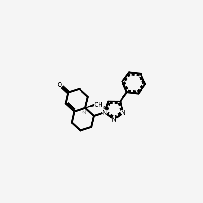 C[C@]12CCC(=O)C=C1CCCC2n1cc(-c2ccccc2)nn1